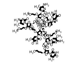 CCCCC[C@H]1O[C@@H](n2cc(C)c(=O)[nH]c2=O)CC1OP(=O)(S)OC[C@H]1O[C@@H](n2cc(C)c(N)nc2=O)C(OCCOC)C1OP(=O)(O)OC[C@H]1O[C@@H](n2cc(C)c(=O)[nH]c2=O)[C@@H](OCCOC)C1OP(=O)(O)OC[C@H]1OC[C@@](OCCOC)(n2cnc3c(=O)[nH]c(N)nc32)C1OP(=O)(S)OC[C@H]1O[C@@H](n2cc(C)c(N)nc2=O)[C@@H](OCCOC)C1OP(=O)(S)OC[C@H]1O[C@@H](n2cc(C)c(N)nc2=O)C(OCCOC)C1O